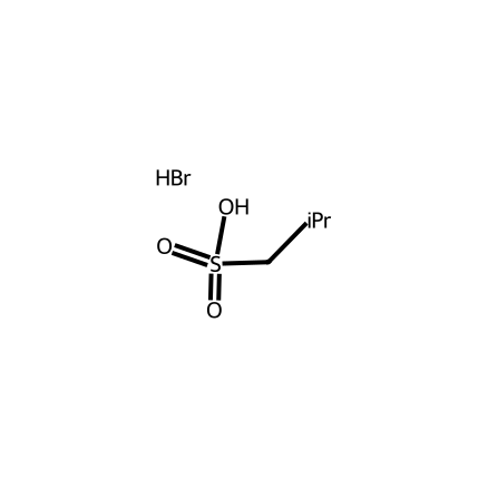 Br.CC(C)CS(=O)(=O)O